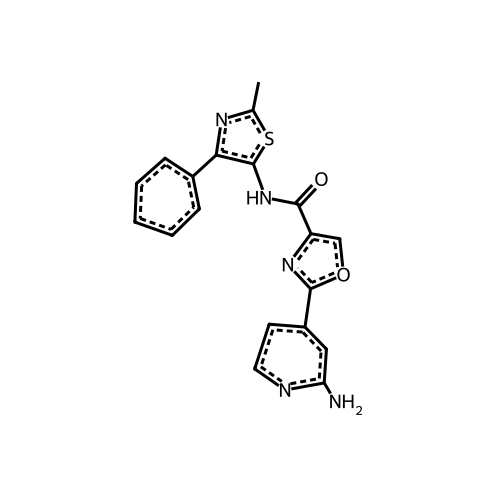 Cc1nc(-c2ccccc2)c(NC(=O)c2coc(-c3ccnc(N)c3)n2)s1